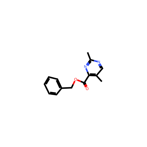 Cc1ncc(C)c(C(=O)OCc2ccccc2)n1